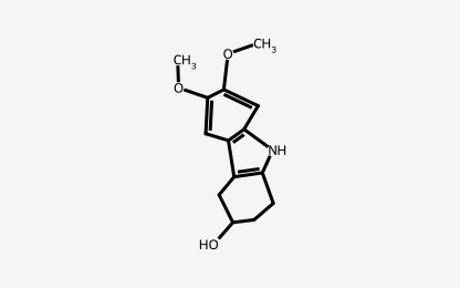 COc1cc2[nH]c3c(c2cc1OC)CC(O)CC3